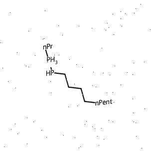 CCCCCCCCCP[PH3]CCC